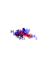 C/C=C\c1[nH]cc(CC(NC(=O)[C@@H](NC(=O)[C@H](Cc2c[nH]c3ccccc23)NC(=O)/C=N/OCc2ccc(S(N)(=O)=O)cc2)C(C)O)C(=O)N[C@@H](CC(C)C)C(N)=O)c1C